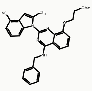 COCCOc1cccc2c(NCc3ccccc3)nc(-n3c(C)cc4c(C#N)cccc43)nc12